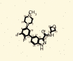 CN1CCN(c2cc(F)c(F)c(-c3ccc4[nH]nc(C(=O)NC5COC5)c4c3)c2)CC1